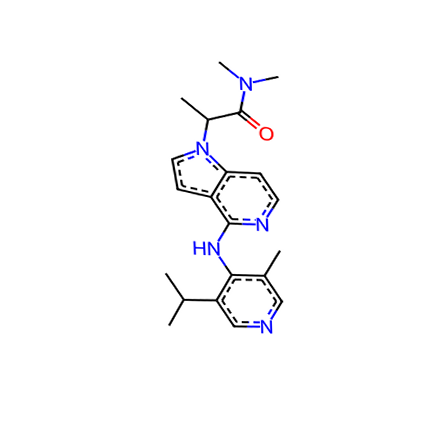 Cc1cncc(C(C)C)c1Nc1nccc2c1ccn2C(C)C(=O)N(C)C